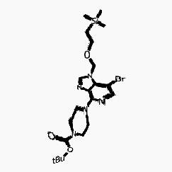 CC(C)(C)OC(=O)N1CCN(c2ncc(Br)c3c2ncn3COCC[Si](C)(C)C)CC1